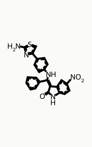 Nc1nc(-c2ccc(NC(=C3C(=O)Nc4ccc([N+](=O)[O-])cc43)c3ccccc3)cc2)cs1